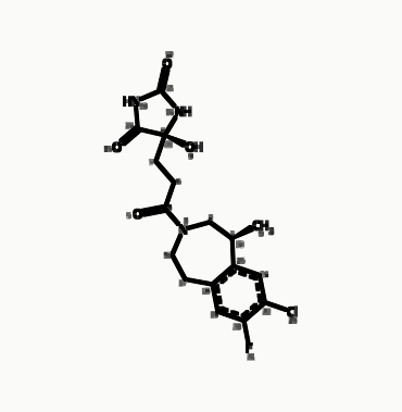 C[C@@H]1CN(C(=O)CC[C@@]2(O)NC(=O)NC2=O)CCc2cc(F)c(Cl)cc21